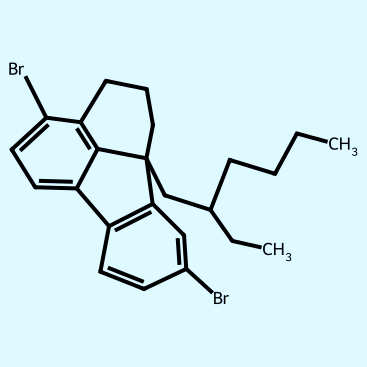 CCCCC(CC)CC12CCCc3c(Br)ccc(c31)-c1ccc(Br)cc12